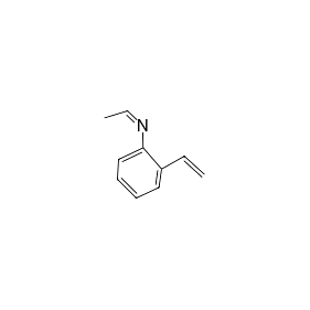 C=Cc1ccccc1/N=C\C